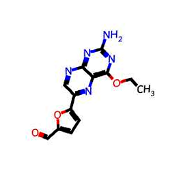 CCOc1nc(N)nc2ncc(-c3ccc(C=O)o3)nc12